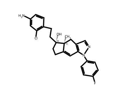 C[C@]12Cc3cnn(-c4ccc(F)cc4)c3C=C1CC[C@@]2(O)CCc1ccc(N)cc1Cl